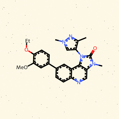 CCOc1ccc(-c2ccc3ncc4c(c3c2)n(-c2cn(C)nc2C)c(=O)n4C)cc1OC